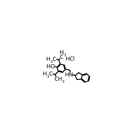 CC(C)c1cc(CNC2Cc3ccccc3C2)cc(C(C)C)c1O.Cl